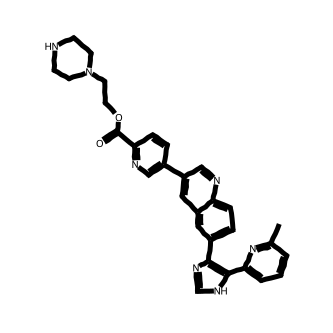 Cc1cccc(-c2[nH]cnc2-c2ccc3ncc(-c4ccc(C(=O)OCCN5CCNCC5)nc4)cc3c2)n1